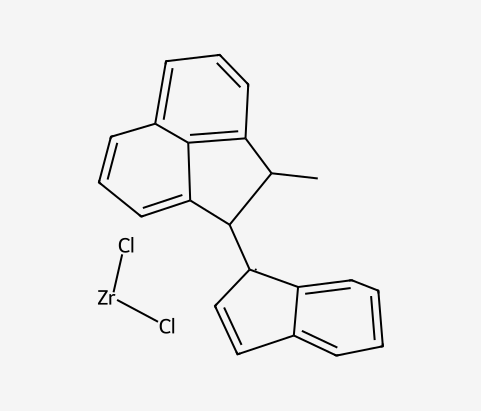 CC1c2cccc3cccc(c23)C1[C]1C=Cc2ccccc21.[Cl][Zr][Cl]